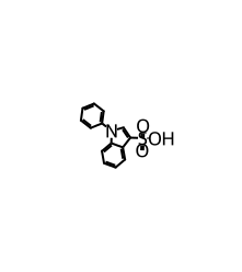 O=S(=O)(O)c1cn(-c2ccccc2)c2ccccc12